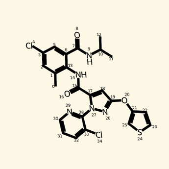 Cc1cc(Cl)cc(C(=O)NC(C)C)c1NC(=O)c1cc(Oc2ccsc2)nn1-c1ncccc1Cl